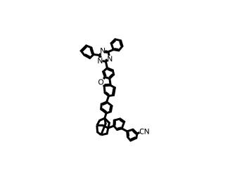 N#Cc1cccc(-c2cccc(C34CC5CC(CC(c6ccc(-c7ccc8c(c7)oc7cc(-c9nc(-c%10ccccc%10)nc(-c%10ccccc%10)n9)ccc78)cc6)(C5)C3)C4)c2)c1